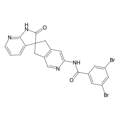 O=C(Nc1cc2c(cn1)CC1(C2)C(=O)Nc2ncccc21)c1cc(Br)cc(Br)c1